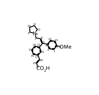 COc1ccc(C(=CCN2CCCC2)c2cccc(/C=C/C(=O)O)c2)cc1